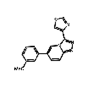 COc1cccc(-c2ccc3nnc(-c4cscn4)n3c2)c1